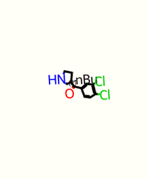 CCCC[C@@]1(C(=O)c2ccc(Cl)c(Cl)c2)CCNC1